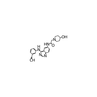 C#Cc1cccc(Nc2ncnc3ccc(NC(=O)CN4CCC(O)CC4)cc23)c1